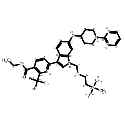 CCOC(=O)c1ccc(-c2cn(COCCS(C)(C)C)c3cc(OC4CCN(c5ncccn5)CC4)ccc23)nc1C(F)(F)F